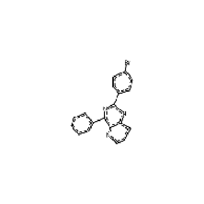 Brc1ccc(-c2nc(-c3ccccc3)c3ncccc3n2)cc1